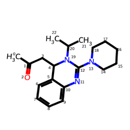 CC(=O)CC1c2ccccc2N=C(N2CCCCC2)N1C(C)C